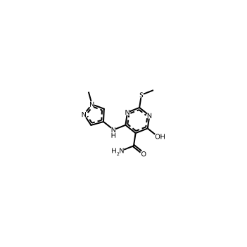 CSc1nc(O)c(C(N)=O)c(Nc2cnn(C)c2)n1